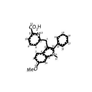 COc1ccc2c(Cc3cccc(C(=O)O)n3)c(-c3ccccc3)n(C)c2c1